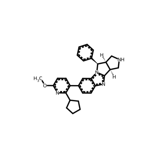 COc1ccc(-c2ccc3nc4n(c3c2)[C@@H](c2ccccc2)[C@H]2CNC[C@@H]42)c(C2CCCC2)n1